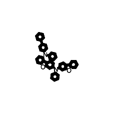 c1ccc(-c2ccc(N(c3ccccc3)c3cccc4oc5cc(N(c6ccccc6)c6ccc7c(c6)oc6ccccc67)ccc5c34)cc2)cc1